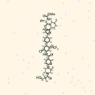 COC(=O)N[C@H](C(=O)N1C[C@@H](C)CC[C@H]1c1nc(-c2ccc(-c3cc(Cl)c(NC(=O)c4ccc(N5CCN(C(=O)C(C)(C)CO)CC5C)nc4)cc3OC(F)(F)F)cc2)c[nH]1)C(C)C